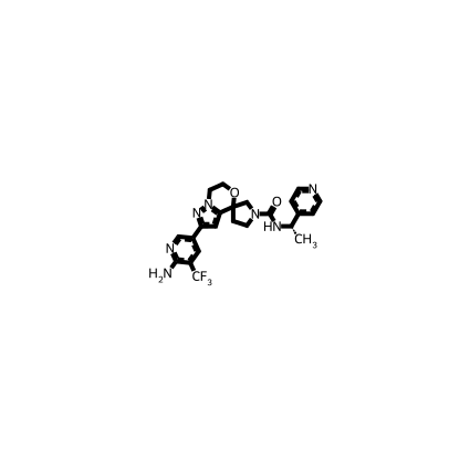 C[C@H](NC(=O)N1CCC2(C1)OCCn1nc(-c3cnc(N)c(C(F)(F)F)c3)cc12)c1ccncc1